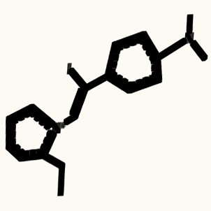 CCc1cccc[n+]1C=C(I)c1ccc(N(C)C)cc1